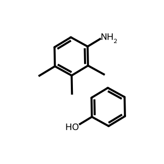 Cc1ccc(N)c(C)c1C.Oc1ccccc1